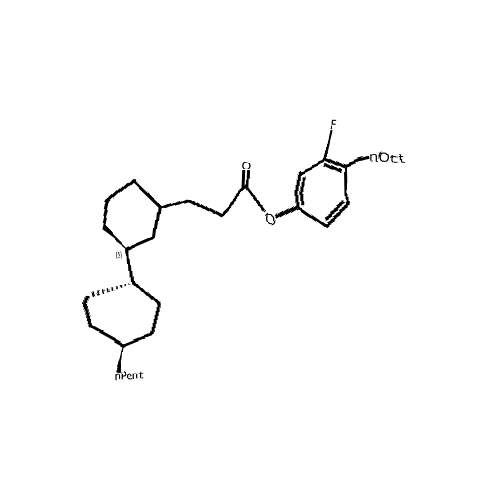 CCCCCCCCc1ccc(OC(=O)CCC2CCC[C@H]([C@H]3CC[C@H](CCCCC)CC3)C2)cc1F